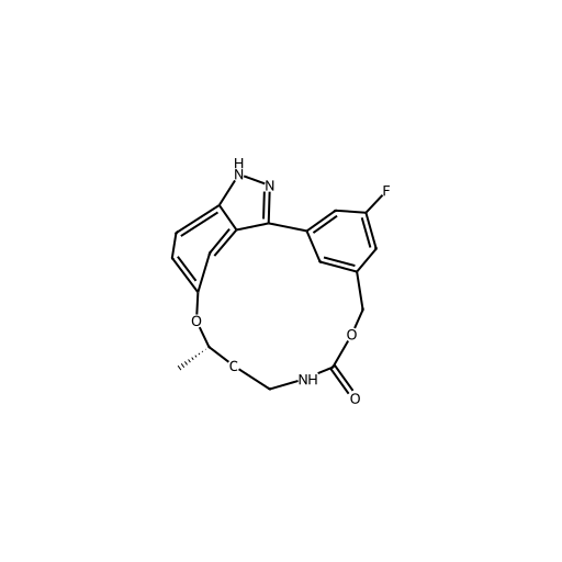 C[C@H]1CCNC(=O)OCc2cc(F)cc(c2)-c2n[nH]c3ccc(cc23)O1